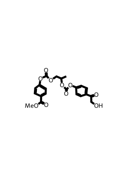 COC(=O)c1ccc(OC(=O)OCC(C)OC(=O)Oc2ccc(C(=O)CO)cc2)cc1